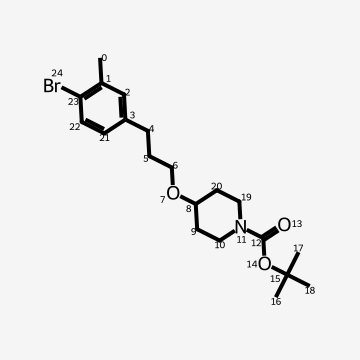 Cc1cc(CCCOC2CCN(C(=O)OC(C)(C)C)CC2)ccc1Br